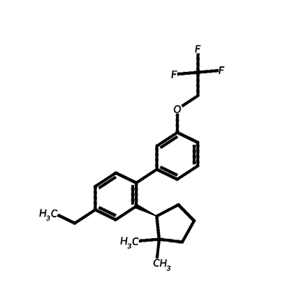 CCc1ccc(-c2cccc(OCC(F)(F)F)c2)c([C@H]2CCCC2(C)C)c1